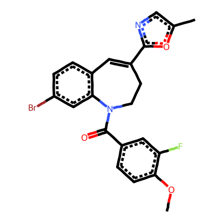 COc1ccc(C(=O)N2CCC(c3ncc(C)o3)=Cc3ccc(Br)cc32)cc1F